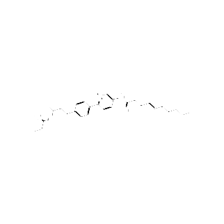 CCCCCC=CCCC(=O)Oc1ccc(-c2ccc(CCC(C)OC(=O)CC)cc2)nc1